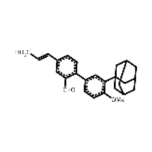 COc1ccc(-c2ccc(/C=C/C(=O)O)cc2C=O)cc1C12CC3CC(CC(C3)C1)C2